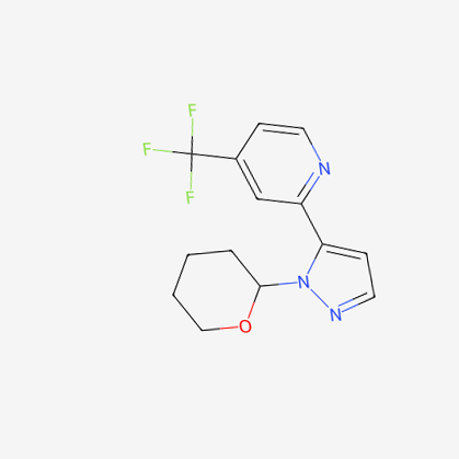 FC(F)(F)c1ccnc(-c2ccnn2C2CCCCO2)c1